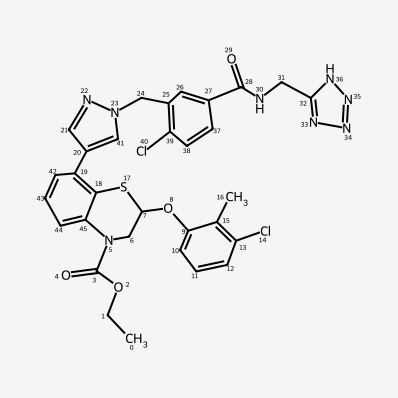 CCOC(=O)N1CC(Oc2cccc(Cl)c2C)Sc2c(-c3cnn(Cc4cc(C(=O)NCc5nnn[nH]5)ccc4Cl)c3)cccc21